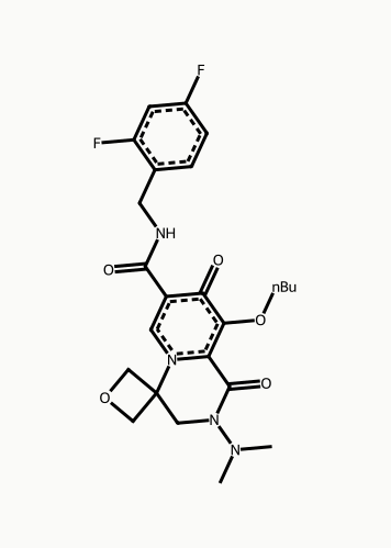 CCCCOc1c2n(cc(C(=O)NCc3ccc(F)cc3F)c1=O)C1(COC1)CN(N(C)C)C2=O